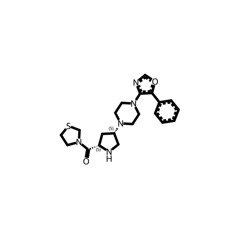 O=C([C@@H]1C[C@H](N2CCN(c3ncoc3-c3ccccc3)CC2)CN1)N1CCSC1